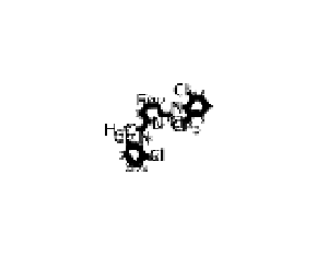 CC(=Nc1c(Cl)cccc1Cl)c1cccc(C(C)=Nc2c(Cl)cccc2Cl)n1.[Fe]